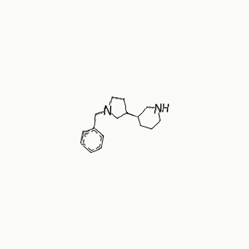 c1ccc(CN2CCC([C@@H]3CCCNC3)C2)cc1